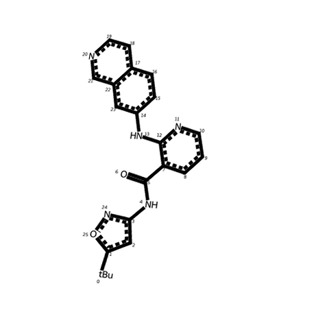 CC(C)(C)c1cc(NC(=O)c2cccnc2Nc2ccc3ccncc3c2)no1